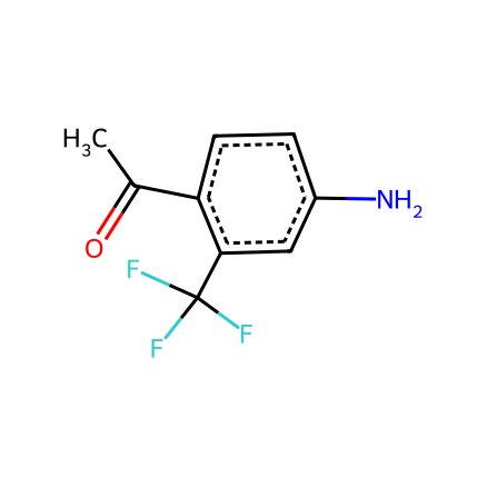 CC(=O)c1ccc(N)cc1C(F)(F)F